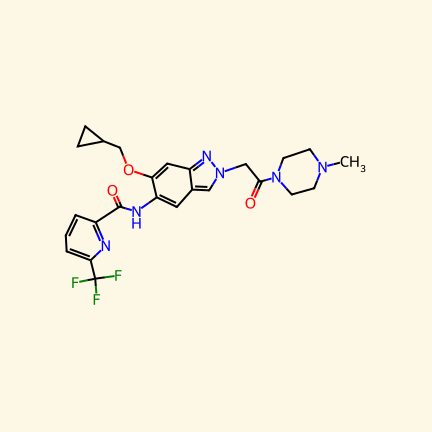 CN1CCN(C(=O)Cn2cc3cc(NC(=O)c4cccc(C(F)(F)F)n4)c(OCC4CC4)cc3n2)CC1